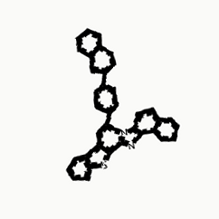 c1ccc2cc(-c3ccc(-c4cc5c6ccccc6sc5c5nc6c7ccccc7ccc6n45)cc3)ccc2c1